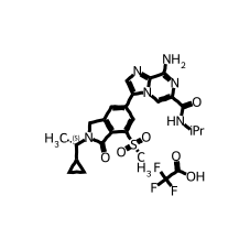 CC(C)NC(=O)c1cn2c(-c3cc4c(c(S(C)(=O)=O)c3)C(=O)N([C@@H](C)C3CC3)C4)cnc2c(N)n1.O=C(O)C(F)(F)F